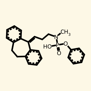 CN(CCC=C1c2ccccc2CCc2ccccc21)P(=O)(O)Oc1ccccc1